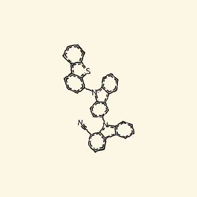 N#Cc1cccc2c3ccccc3n(-c3ccc4c(c3)c3ccccc3n4-c3cccc4c3sc3ccccc34)c12